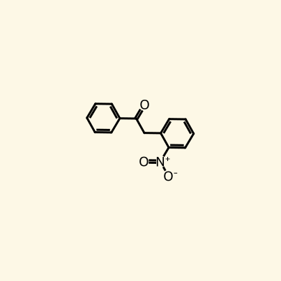 O=C(Cc1ccccc1[N+](=O)[O-])c1ccccc1